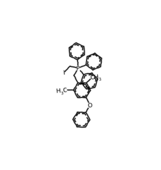 Cc1cc(Oc2ccccc2)cc(C)c1CP(CI)(c1ccccc1)(c1ccccc1)c1ccccc1